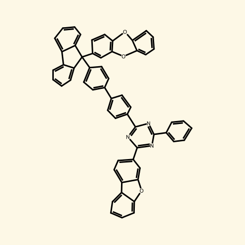 c1ccc(-c2nc(-c3ccc(-c4ccc(C5(c6ccc7c(c6)Oc6ccccc6O7)c6ccccc6-c6ccccc65)cc4)cc3)nc(-c3ccc4c(c3)oc3ccccc34)n2)cc1